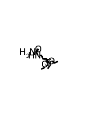 CCO[Si](CC)(CCCNC(N)=O)OCC